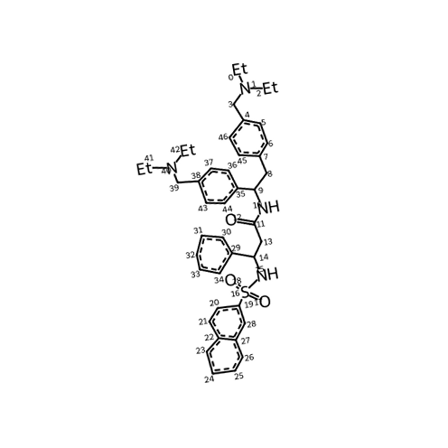 CCN(CC)Cc1ccc(CC(NC(=O)CC(NS(=O)(=O)c2ccc3ccccc3c2)c2ccccc2)c2ccc(CN(CC)CC)cc2)cc1